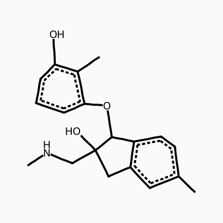 CNCC1(O)Cc2cc(C)ccc2C1Oc1cccc(O)c1C